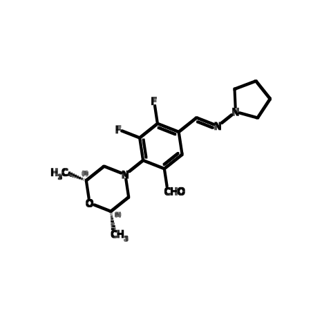 C[C@@H]1CN(c2c(C=O)cc(C=NN3CCCC3)c(F)c2F)C[C@H](C)O1